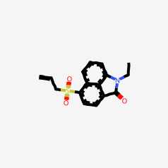 C=CCS(=O)(=O)c1ccc2c3c(cccc13)N(CC)C2=O